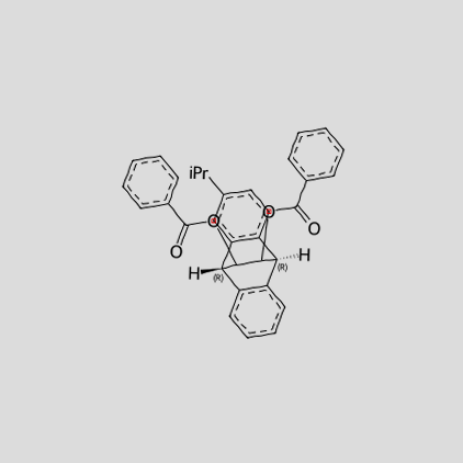 CC(C)c1ccc2c(c1)[C@H]1c3ccccc3[C@H]2C(OC(=O)c2ccccc2)C1OC(=O)c1ccccc1